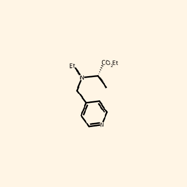 CCOC(=O)[C@H](C)N(CC)Cc1ccncc1